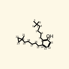 CC(C)(C)CCCCc1c(O)cccc1CCCCCC1(C)CC1